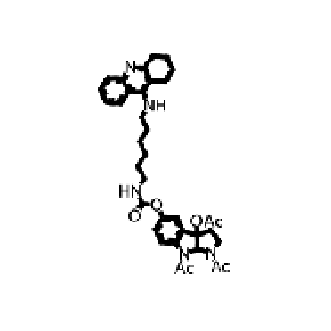 CC(=O)OC12CCN(C(C)=O)C1N(C(C)=O)c1ccc(OC(=O)NCCCCCCNc3c4c(nc5ccccc35)CCCC4)cc12